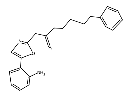 Nc1ccccc1-c1cnc(CC(=O)CCCCCc2ccccc2)o1